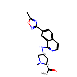 COC(=O)[C@@H]1C[C@H](Nc2nccc3ccc(-c4noc(C)n4)cc23)CN1C